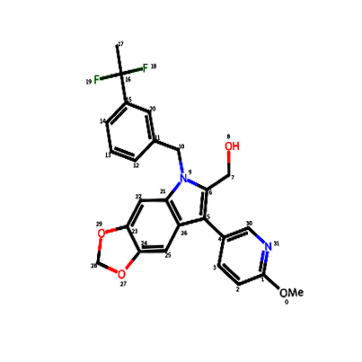 COc1ccc(-c2c(CO)n(Cc3cccc(C(C)(F)F)c3)c3cc4c(cc23)OCO4)cn1